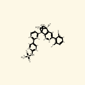 CC1(C)[C@H]2CC[C@@]1(c1ccnc(-c3cnc(NS(C)(=O)=O)nc3)n1)c1nnc(-c3c(F)cccc3F)cc12